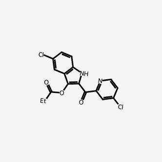 CCC(=O)Oc1c(C(=O)c2cc(Cl)ccn2)[nH]c2ccc(Cl)cc12